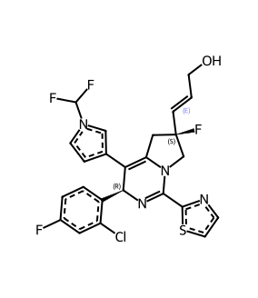 OC/C=C/[C@@]1(F)CC2=C(c3ccn(C(F)F)c3)[C@H](c3ccc(F)cc3Cl)N=C(c3nccs3)N2C1